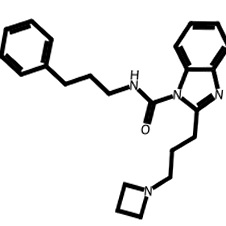 O=C(NCCCc1ccccc1)n1c(CCCN2CCC2)nc2ccccc21